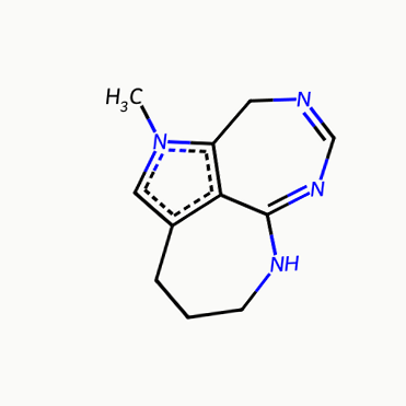 Cn1cc2c3c1CN=CN=C3NCCC2